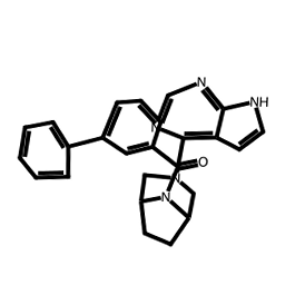 O=C(c1cccc(-c2ccccc2)c1)N1C2CCC1CN(c1ncnc3[nH]ccc13)C2